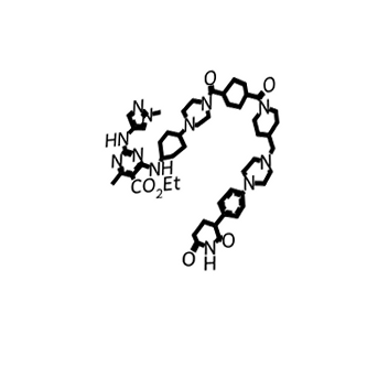 CCOC(=O)c1c(C)nc(Nc2cnn(C)c2)nc1NC1CCC(N2CCN(C(=O)C3CCC(C(=O)N4CCC(CN5CCN(c6ccc(C7CCC(=O)NC7=O)cc6)CC5)CC4)CC3)CC2)CC1